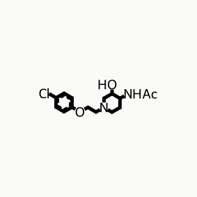 CC(=O)NC1CCN(CCOc2ccc(Cl)cc2)CC1O